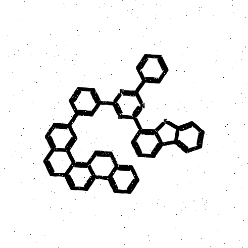 c1ccc(-c2nc(-c3cccc(-c4ccc5ccc6ccc7c8ccccc8ccc7c6c5c4)c3)nc(-c3cccc4c3sc3ccccc34)n2)cc1